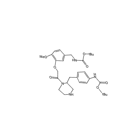 COc1ccc(CNC(=O)OC(C)(C)C)cc1OCC(=O)N1CCNCC1Cc1ccc(NC(=O)OC(C)(C)C)cc1